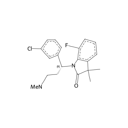 CNCC[C@H](c1cccc(Cl)c1)N1C(=O)C(C)(C)c2cccc(F)c21